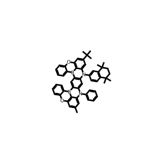 Cc1cc2c3c(c1)N(c1ccccc1)c1cc4c(cc1B3c1ccccc1O2)B1c2ccccc2Oc2cc(C(C)(C)C)cc(c21)N4c1ccc2c(c1)C(C)(C)CCC2(C)C